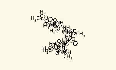 CCC(C)(CC(C)(CC(C)(C)C(=O)NCC(=O)N[C@@H](Cc1ccccc1)C(=O)N[C@@H](CC(C)C)C(=O)NCC(=O)NCC[C@@H](NC(=O)OC1CC[C@]2(CO2)C(C2(C)O[C@@H]2CC=C(C)C)C1OC)C(=O)OC)C(=O)NCC(C)O)C(C)C